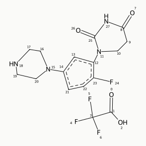 O=C(O)C(F)(F)F.O=C1CCN(c2cc(N3CCNCC3)ccc2F)C(=O)N1